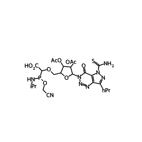 CCCc1nn(C(N)=S)c2c(=O)n(C3OC(COC(C(=O)O)P(NC(C)C)OCC#N)C(OC(C)=O)C3OC(C)=O)nnc12